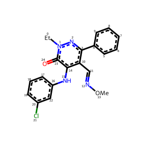 CCn1nc(-c2ccccc2)c(/C=N/OC)c(Nc2cccc(Cl)c2)c1=O